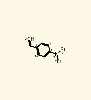 [CH]=Cc1ccc(N(CC)CC)cc1